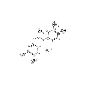 Cl.Nc1cc(CC(Cc2ccc(O)c(N)c2)C(F)(F)F)ccc1O